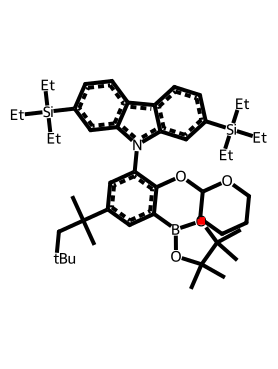 CC[Si](CC)(CC)c1ccc2c3ccc([Si](CC)(CC)CC)cc3n(-c3cc(C(C)(C)CC(C)(C)C)cc(B4OC(C)(C)C(C)(C)O4)c3OC3CCCCO3)c2c1